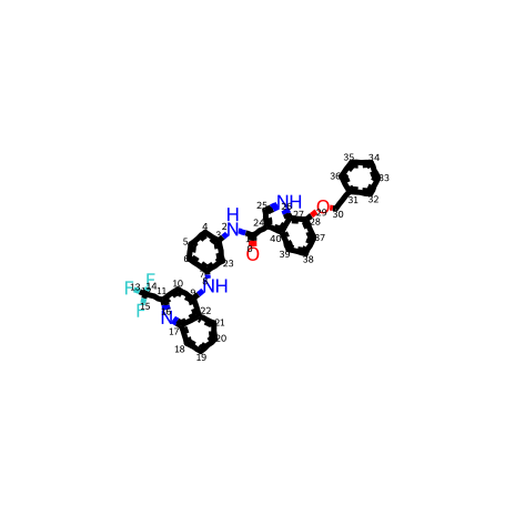 O=C(Nc1cccc(Nc2cc(C(F)(F)F)nc3ccccc23)c1)c1c[nH]c2c(OCc3ccccc3)cccc12